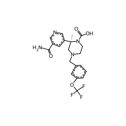 C[C@@]1(c2cncc(C(N)=O)c2)CN(Cc2cccc(OC(F)(F)F)c2)CCN1C(=O)O